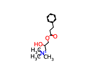 C[N+](C)(C)CC(O)COC(=O)CCc1ccccc1